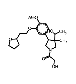 COc1ccc(C2CN(C(=O)CO)CC2(C)C(C)O)cc1OCCC1CCCO1